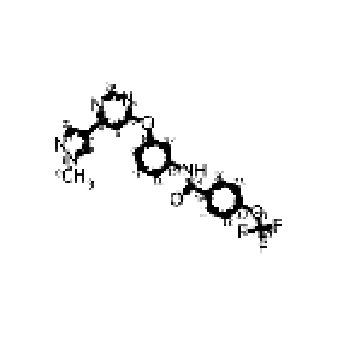 Cn1cc(-c2cc(Oc3cccc(NC(=O)c4ccc(OC(F)(F)F)cc4)c3)ncn2)cn1